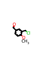 COc1ccc(C=O)cc1CCl